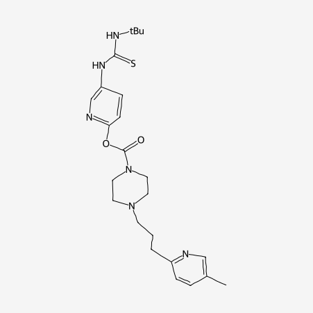 Cc1ccc(CCCN2CCN(C(=O)Oc3ccc(NC(=S)NC(C)(C)C)cn3)CC2)nc1